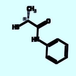 C[C@@H](S)C(=O)Nc1ccccc1